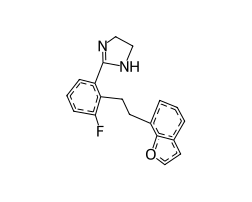 Fc1cccc(C2=NCCN2)c1CCc1cccc2ccoc12